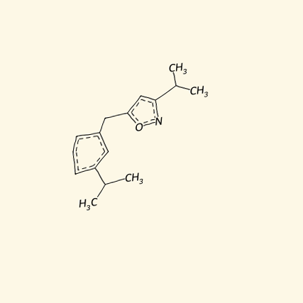 CC(C)c1cccc(Cc2cc(C(C)C)no2)c1